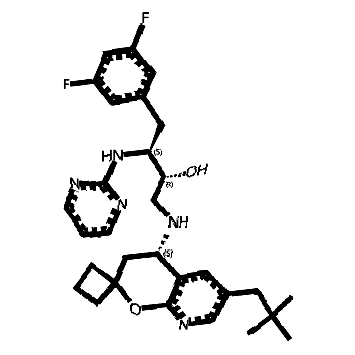 CC(C)(C)Cc1cnc2c(c1)[C@@H](NC[C@@H](O)[C@H](Cc1cc(F)cc(F)c1)Nc1ncccn1)CC1(CCC1)O2